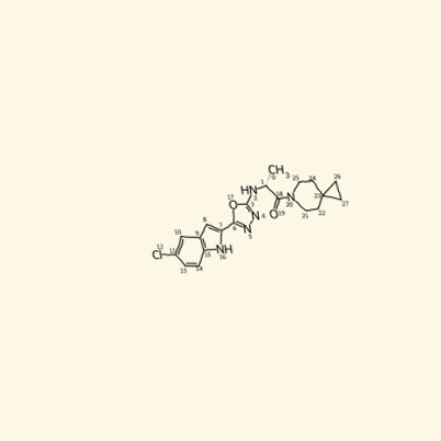 C[C@@H](Nc1nnc(-c2cc3cc(Cl)ccc3[nH]2)o1)C(=O)N1CCC2(CC1)CC2